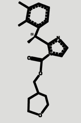 Cc1cccc([C@H](C)c2nccn2C(=O)OCC2CCOCC2)c1C